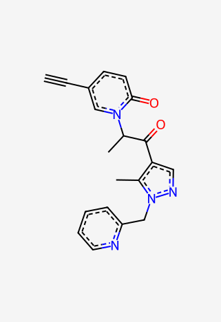 C#Cc1ccc(=O)n(C(C)C(=O)c2cnn(Cc3ccccn3)c2C)c1